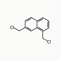 ClCc1ccc2cccc(CCl)c2c1